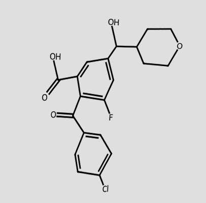 O=C(O)c1cc(C(O)C2CCOCC2)cc(F)c1C(=O)c1ccc(Cl)cc1